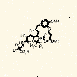 CCC(CC)(CNC(=O)[C@@H](CC1OC(C)(C)N(C(=O)OC(C)(C)C)C1C[C@@H](Cc1ccc(OC)c(OCCCOC)c1)C(C)C)C(C)C)C(=O)O